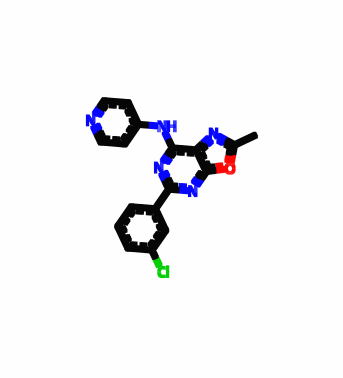 Cc1nc2c(Nc3ccncc3)nc(-c3cccc(Cl)c3)nc2o1